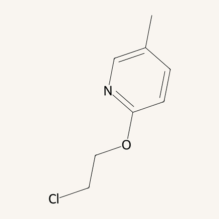 Cc1ccc(OCCCl)nc1